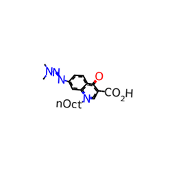 CCCCCCCCn1cc(C(=O)O)c(=O)c2ccc(N=NN(C)C)cc21